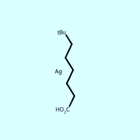 CC(C)(C)CCCCCC(=O)O.[Ag]